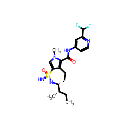 CC[C@H](C)[C@H]1CCc2c(cn(C)c2C(=O)Nc2ccnc(C(F)F)c2)S(=N)(=O)N1